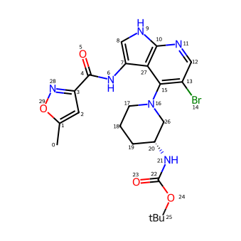 Cc1cc(C(=O)Nc2c[nH]c3ncc(Br)c(N4CCC[C@@H](NC(=O)OC(C)(C)C)C4)c23)no1